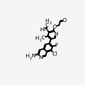 CNc1c(OCC=O)ncc(-c2cc3cc(N)ncc3c(Cl)c2F)c1C